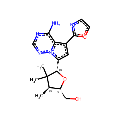 C[C@@H]1[C@@H](CO)O[C@@H](c2cc(-c3ncco3)c3c(N)ncnn23)C1(C)C